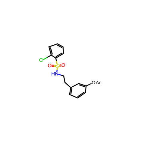 CC(=O)Oc1cccc(CCNS(=O)(=O)c2ccccc2Cl)c1